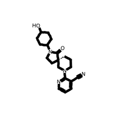 N#Cc1cccnc1N1CCC[C@@]2(CCN(C3CCC(O)CC3)C2=O)C1